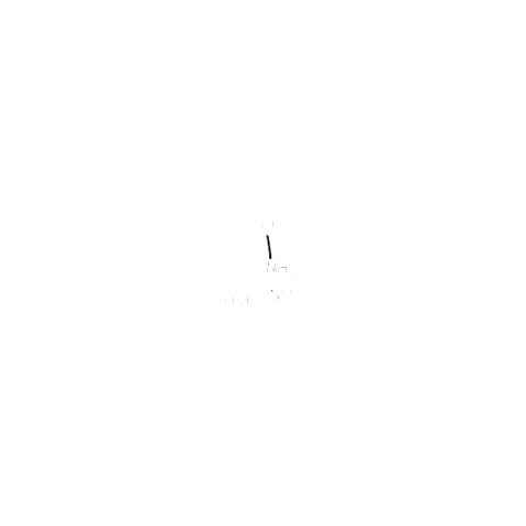 Cl.N.NCl